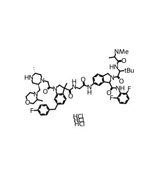 CNC(C)C(=O)NC(C(=O)N1Cc2ccc(NC(=O)CNC(=O)C3(C)CN(C(=O)CN4C[C@@H](C)NC[C@@H]4CN4CCOCC4C)c4cc(Cc5ccc(F)cc5)ccc43)cc2C1C(=O)Nc1c(F)cccc1F)C(C)(C)C.Cl.Cl.Cl